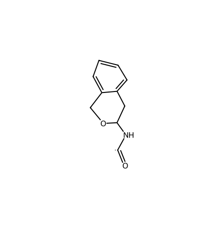 O=[C]NC1Cc2ccccc2CO1